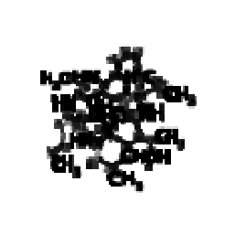 CCCC[C@H](NC(=O)C(C)Nc1cccc2ccccc12)C(=O)N[C@@H](CC(C)C)[C@@H](O)CC(C(=O)NCC(C)C)C(C)O